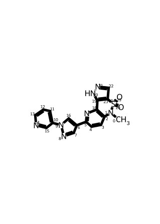 CN1c2ccc(-c3cnn(-c4cccnc4)c3)nc2-c2[nH]ncc2S1(=O)=O